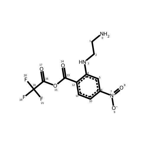 NCCNc1cc([N+](=O)[O-])ccc1C(=O)OC(=O)C(F)(F)F